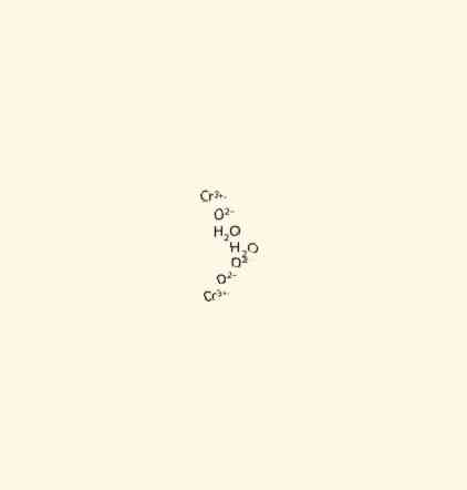 O.O.[Cr+3].[Cr+3].[O-2].[O-2].[O-2]